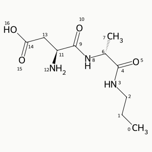 CCCNC(=O)[C@@H](C)NC(=O)[C@@H](N)CC(=O)O